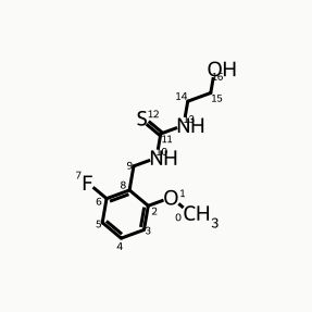 COc1cccc(F)c1CNC(=S)NCCO